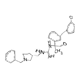 CC(C=O)(NC(=N)NC[C@H]1CCN(Cc2ccccc2)C1)c1cccc(-c2cccc(Cl)c2)c1